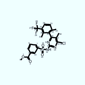 COC(=O)c1cccc(S(=O)(=O)Nc2nc(Cl)c(C)c(-c3c(C)ccc(C(F)(F)F)c3C)n2)c1